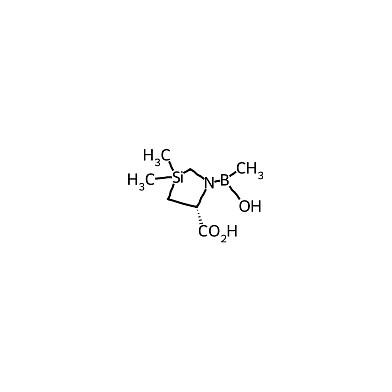 CB(O)N1C[Si](C)(C)C[C@H]1C(=O)O